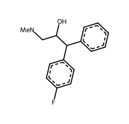 CNCC(O)C(c1ccccc1)c1ccc(F)cc1